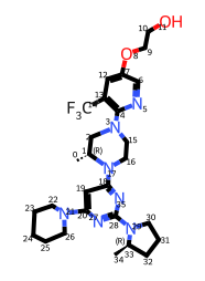 C[C@@H]1CN(c2ncc(OCCO)cc2C(F)(F)F)CCN1c1cc(N2CCCCC2)nc(N2CCC[C@H]2C)n1